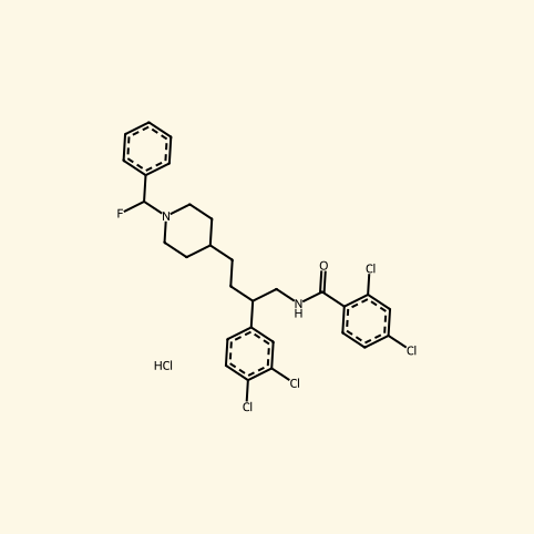 Cl.O=C(NCC(CCC1CCN(C(F)c2ccccc2)CC1)c1ccc(Cl)c(Cl)c1)c1ccc(Cl)cc1Cl